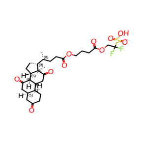 C[C@H](CCC(=O)OCCCC(=O)OCC(F)(F)S(=O)(=O)O)[C@H]1CC[C@H]2[C@@H]3C(=O)C[C@@H]4CC(=O)CC[C@]4(C)[C@H]3CC(=O)[C@]12C